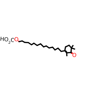 CC1=C(CCCCCCCCCCCCCCCOC(=O)O)CCC(C)(C)C1=O